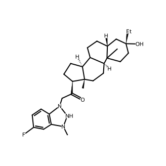 CC[C@@]1(O)CCC2(C)[C@H](CCC3[C@@H]2CC[C@]2(C)[C@@H](C(=O)CN4NN(C)c5cc(F)ccc54)CC[C@@H]32)C1